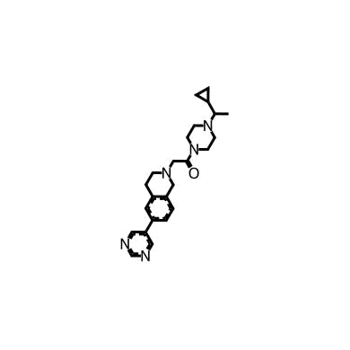 CC(C1CC1)N1CCN(C(=O)CN2CCc3cc(-c4cncnc4)ccc3C2)CC1